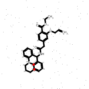 C=CCOc1cc(CC(=O)NC(c2ccccc2)c2ccccc2N2CCCCC2)ccc1C(=O)OCC